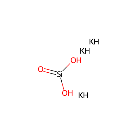 O=[Si](O)O.[KH].[KH].[KH]